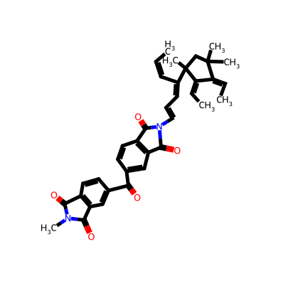 C\C=C/C(=C\C=C\N1C(=O)c2ccc(C(=O)c3ccc4c(c3)C(=O)N(C)C4=O)cc2C1=O)C1(C)CC(C)(C)C(=C/C)/C1=C\C